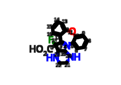 O=C(O)C(F)(C1=Nc2ccccc2Oc2ccccc21)C1CNCCN1